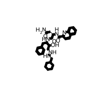 NC(=O)C[C@H](NC(=O)c1ccc2ccccc2n1)C(=O)NC(Cc1ccccc1)C(O)CNNCC1CCCCC1